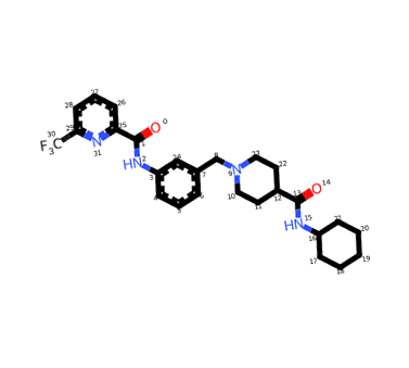 O=C(Nc1cccc(CN2CCC(C(=O)NC3CCCCC3)CC2)c1)c1cccc(C(F)(F)F)n1